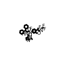 CCn1nccc1C(=O)N[C@H](C(=O)Nc1cc(C)c(C(C)C(=O)N(C)C(F)C(F)F)cc1F)C(C1CCCCC1)C1CCCCC1